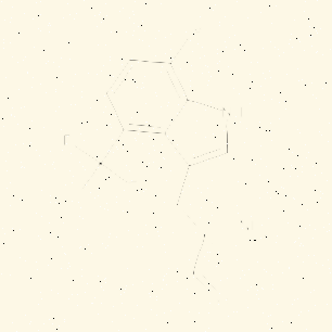 N[C@H]([C]=O)Cc1c[nH]c2c(Br)ccc(C(F)(F)F)c12